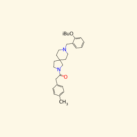 Cc1ccc(CC(=O)N2CCC3(CCN(Cc4ccccc4OCC(C)C)CC3)C2)cc1